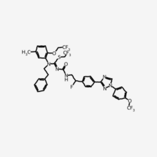 Cc1ccc(OCC(F)(F)F)c(N(CCc2ccccc2)/C(=N/C(=O)NCC(F)c2ccc(-c3ncn(-c4ccc(OC(F)(F)F)cc4)n3)cc2)SCC(F)(F)F)c1